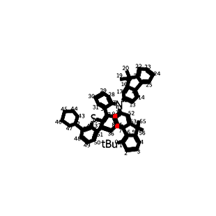 CC(C)(C)c1cccc2c1-c1ccc(N(c3ccc4c(c3)C(C)(C)c3ccccc3-4)c3ccccc3-c3cccc4c3sc3c(C5CCCCC5)cccc34)cc1C2(C)C